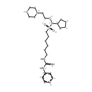 N=C(NCCCCCCS(=O)(=O)N(OCCN1CCOCC1)C1CCCC1)Nc1ccncc1